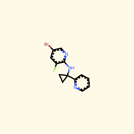 Fc1cc(Br)cnc1NC1(c2ccccn2)CC1